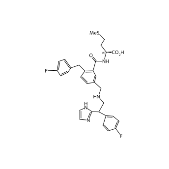 CSCC[C@H](NC(=O)c1cc(CNCC(c2ccc(F)cc2)c2ncc[nH]2)ccc1Cc1ccc(F)cc1)C(=O)O